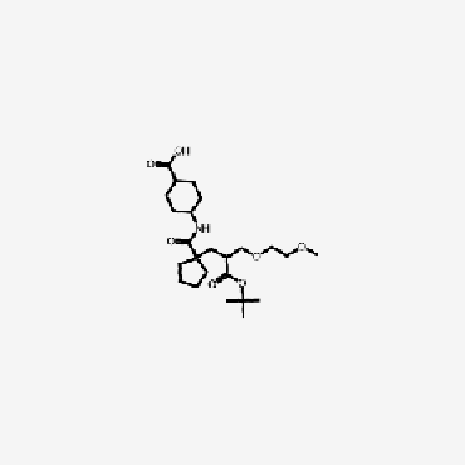 COCCOCC(CC1(C(=O)NC2CCC(C(=O)O)CC2)CCCC1)C(=O)OC(C)(C)C